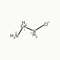 [SiH3][GeH2][SiH2]Cl